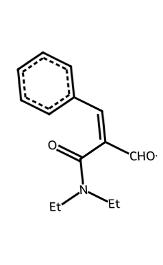 CCN(CC)C(=O)C([C]=O)=Cc1ccccc1